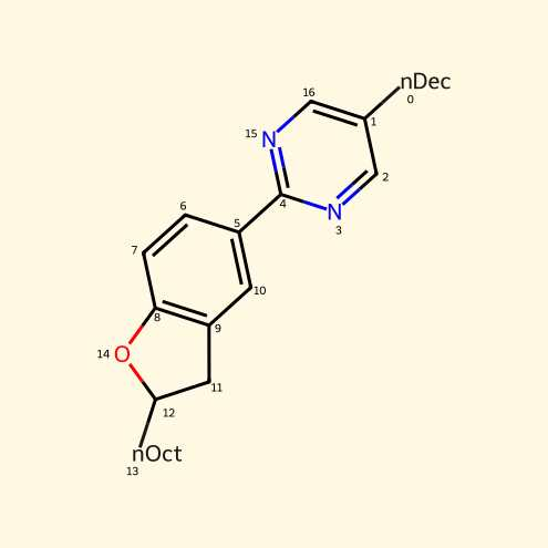 CCCCCCCCCCc1cnc(-c2ccc3c(c2)CC(CCCCCCCC)O3)nc1